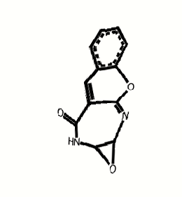 O=C1NC2OC2N=C2Oc3ccccc3C=C12